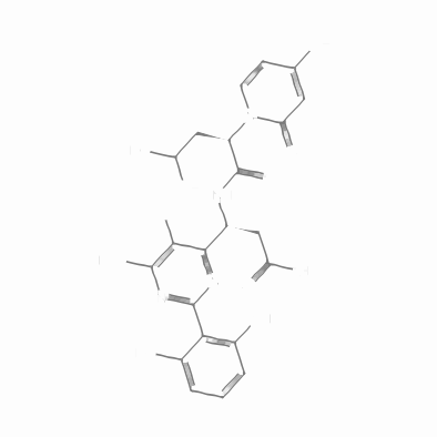 Cc1ccn([C@H](CC(C)C)C(=O)N[C@@H](CC(=O)O)c2nc(-c3c(C)cccc3C)nc(C)c2F)c(=O)c1